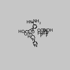 N=C(N)c1cccc(OCC(CC(=O)O)NC(=O)C2CCN(c3ccncc3)CC2)c1.O=C(O)C(F)(F)F.O=C(O)C(F)(F)F